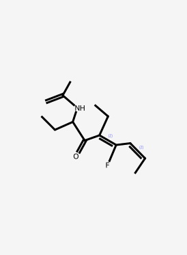 C=C(C)NC(CC)C(=O)/C(CC)=C(F)/C=C\C